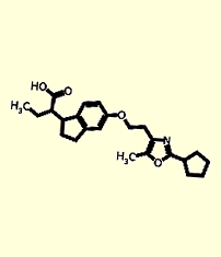 CCC(C(=O)O)C1CCc2cc(OCCc3nc(C4CCCC4)oc3C)ccc21